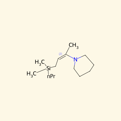 CCC[Si](C)(C)C/C=C(/C)N1CCCCC1